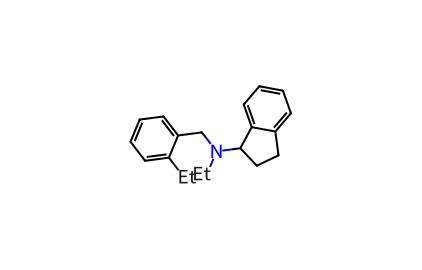 CCc1ccccc1CN(CC)C1CCc2ccccc21